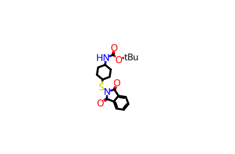 CC(C)(C)OC(=O)NC1CCC(SN2C(=O)c3ccccc3C2=O)CC1